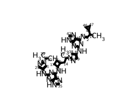 CC(/C=N/c1nc(Nc2cnn(C(C)CC3CCC3Nc3nc(Nc4cnn(C(C)C)c4)nc4[nH]cnc34)c2)nc2[nH]cnc12)C1CC1